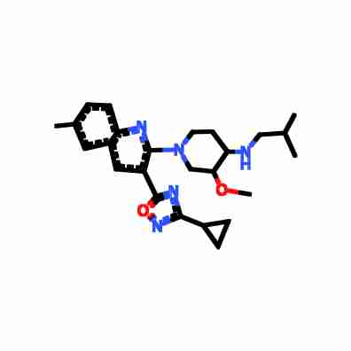 COC1CN(c2nc3ccc(C)cc3cc2-c2nc(C3CC3)no2)CCC1NCC(C)C